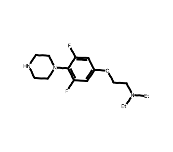 CCN(CC)CCOc1cc(F)c(N2CCNCC2)c(F)c1